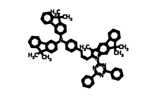 Cc1c(/C=C\Cc2ccc(N(c3ccc4c(c3)-c3ccccc3C4(C)C)c3ccc4c(c3)-c3ccccc3C4(C)C)cc2)n(-c2nc(-c3ccccc3)nc(-c3ccccc3)n2)c2cc3c(cc12)-c1ccccc1C3(C)C